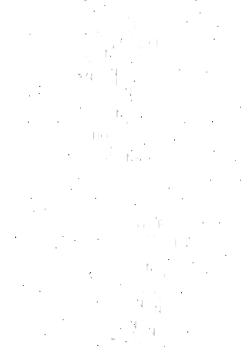 COC(=O)C1=C(CN2CCN(CCC(NCCCCCCOc3cc(N4CCc5nc(-c6ncccn6)ncc5C4C)cc(F)c3F)C(=O)O)CC2)NC(c2nccs2)=N[C@H]1c1ccc(F)cc1Cl